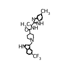 Cc1ccc2[nH]c(C(C)NC(=O)C3CCN(Cc4c[nH]c5ccc(C(F)(F)F)cc45)CC3)nc2c1